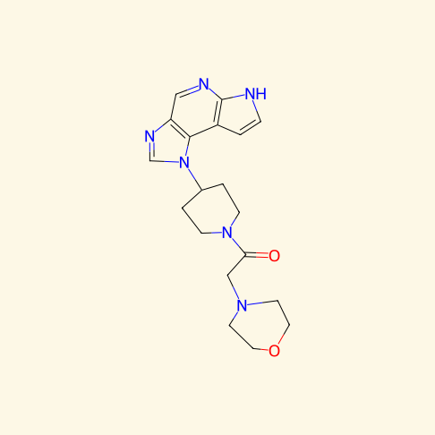 O=C(CN1CCOCC1)N1CCC(n2cnc3cnc4[nH]ccc4c32)CC1